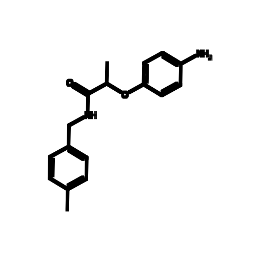 Cc1ccc(CNC(=O)C(C)Oc2ccc(N)cc2)cc1